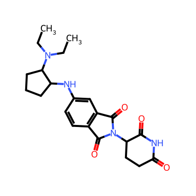 CCN(CC)C1CCCC1Nc1ccc2c(c1)C(=O)N(C1CCC(=O)NC1=O)C2=O